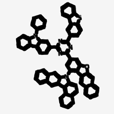 c1ccc(-n2c3ccccc3c3ccc(-c4nc(-c5cc(-n6c7cc8ccccc8cc7c7c8ccccc8ccc76)c6c(c5)oc5cc7ccccc7cc56)nc(-c5ccc6sc7ccccc7c6c5)n4)cc32)cc1